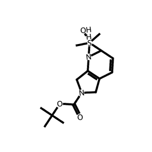 CC(C)(C)OC(=O)N1CC2=C(C1)N1C(C=C2)[SH]1(C)(C)O